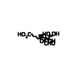 O=C[C@H](OC(=O)CCCCC(=O)O)[C@@H](O)[C@H](O)[C@H](O)CO